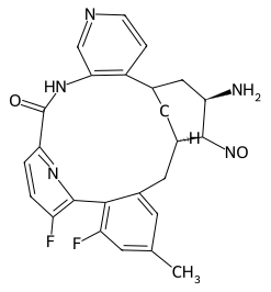 Cc1cc(F)c2c(c1)C[C@H]1CC(C[C@@H](N)C1N=O)c1ccncc1NC(=O)c1ccc(F)c-2n1